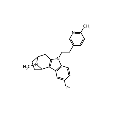 Cc1ccc(CCn2c3c(c4cc(C(C)C)ccc42)C2CCC(C3)N2C)cn1